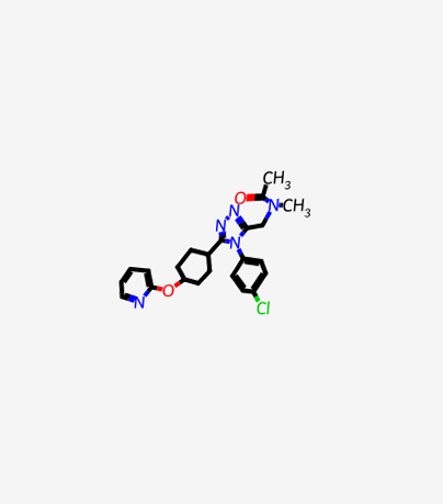 CC(=O)N(C)Cc1nnc(C2CCC(Oc3ccccn3)CC2)n1-c1ccc(Cl)cc1